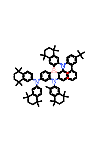 Cc1cc2c3c(c1)N(c1ccc(C(C)(C)C)cc1-c1ccccc1)c1cc4c(cc1B3c1ccc(N(c3ccc5c(c3)C(C)(C)CCC5(C)C)c3ccc5c(c3)C(C)(C)CCC5(C)C)cc1N2c1cc2c(cc1C)C(C)(C)CCC2(C)C)C(C)(C)CCC4(C)C